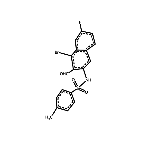 Cc1ccc(S(=O)(=O)Nc2cc3ccc(F)cc3c(Br)c2C=O)cc1